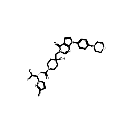 O=C(C[C@@H](C(F)F)n1ccc(F)n1)N1CCC(O)(Cn2cnc3c(ccn3-c3ccc(N4CCOCC4)cc3)c2=O)CC1